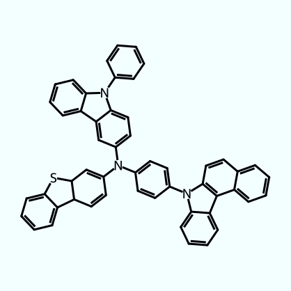 C1=CC2c3ccccc3SC2C=C1N(c1ccc(-n2c3ccccc3c3c4ccccc4ccc32)cc1)c1ccc2c(c1)c1ccccc1n2-c1ccccc1